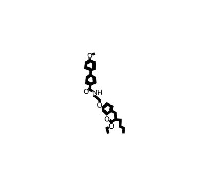 CCCCC(Cc1ccc(OCCNC(=O)c2ccc(-c3ccc(OC)cc3)cc2)cc1)C(=O)OCC